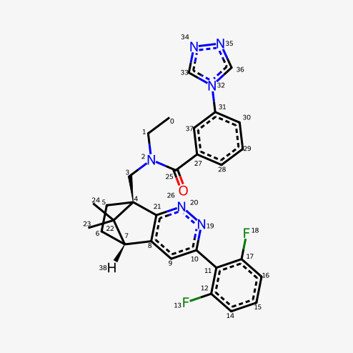 CCN(C[C@@]12CC[C@@H](c3cc(-c4c(F)cccc4F)nnc31)C2(C)C)C(=O)c1cccc(-n2cnnc2)c1